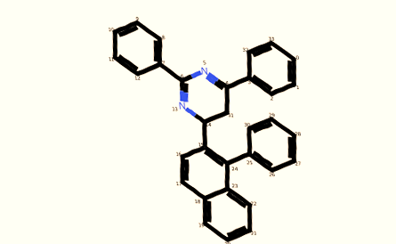 c1ccc(C2=NC(c3ccccc3)=NC(c3ccc4ccccc4c3-c3ccccc3)C2)cc1